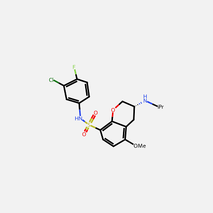 COc1ccc(S(=O)(=O)Nc2ccc(F)c(Cl)c2)c2c1C[C@@H](NC(C)C)CO2